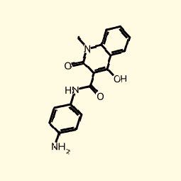 Cn1c(=O)c(C(=O)Nc2ccc(N)cc2)c(O)c2ccccc21